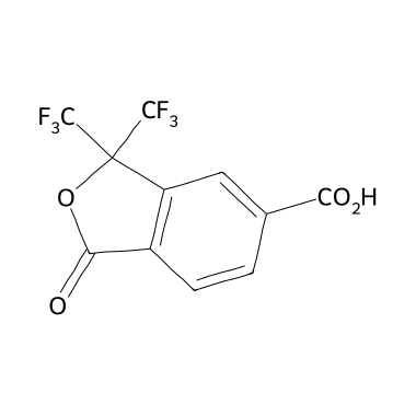 O=C(O)c1ccc2c(c1)C(C(F)(F)F)(C(F)(F)F)OC2=O